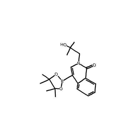 CC(C)(O)Cn1cc(B2OC(C)(C)C(C)(C)O2)c2ccccc2c1=O